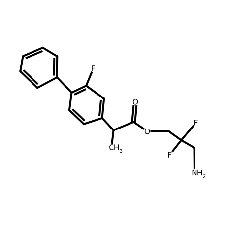 CC(C(=O)OCC(F)(F)CN)c1ccc(-c2ccccc2)c(F)c1